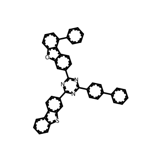 c1ccc(-c2ccc(-c3nc(-c4ccc5c(c4)oc4cccc(-c6ccccc6)c45)nc(-c4ccc5c(c4)sc4ccccc45)n3)cc2)cc1